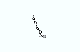 CCCCCCCCC[C@H]1CC[C@H](C2CCC(CC[C@H]3CC[C@H](c4ccc(CF)cc4)CC3)CC2)CC1